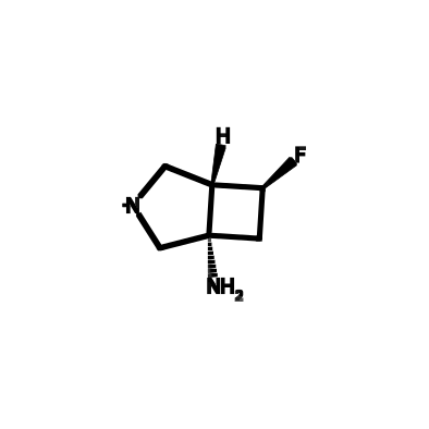 N[C@]12C[N]C[C@@H]1[C@@H](F)C2